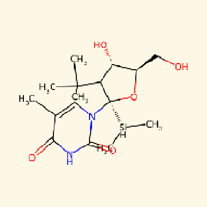 Cc1cn([C@]2([SiH](C)C)O[C@H](CO)[C@@H](O)C2C(C)(C)C)c(=O)[nH]c1=O